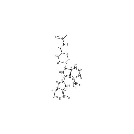 CC(=O)NC[C@H]1CC[C@H](c2nc(-c3cc4cccc(C)c4[nH]3)c3c(N)ncnn32)CC1